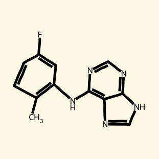 Cc1ccc(F)cc1Nc1ncnc2[nH]cnc12